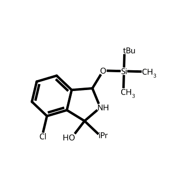 CC(C)C1(O)NC(O[Si](C)(C)C(C)(C)C)c2cccc(Cl)c21